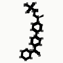 CC(C)S(=O)(=O)NC[C@H](C)c1ccc(-c2ccc(C(=O)N3CCCCC3)cn2)cc1